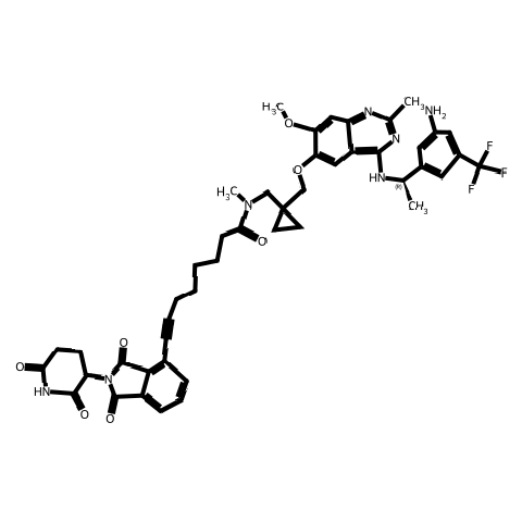 COc1cc2nc(C)nc(N[C@H](C)c3cc(N)cc(C(F)(F)F)c3)c2cc1OCC1(CN(C)C(=O)CCCCCC#Cc2cccc3c2C(=O)N(C2CCC(=O)NC2=O)C3=O)CC1